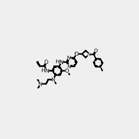 C=CC(=O)Nc1cc(Nc2nccc(OC3CN(C(=O)c4ccc(C)cc4)C3)n2)c(OC)cc1N(C)CCN(C)C